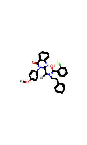 CCOc1ccc(-n2c(C(CC)N(CCc3ccccc3)C(O)c3ccccc3Cl)nc3ccccc3c2=O)cc1